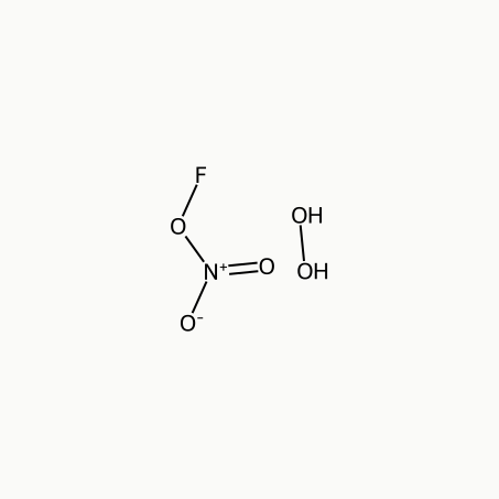 O=[N+]([O-])OF.OO